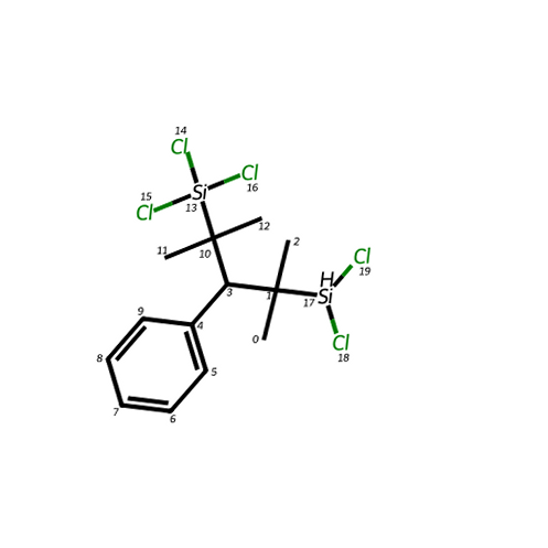 CC(C)(C(c1ccccc1)C(C)(C)[Si](Cl)(Cl)Cl)[SiH](Cl)Cl